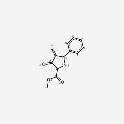 COC(=O)C1NN(c2ccccc2)C(=O)C1=O